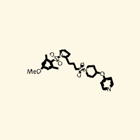 COc1cc(C)c(S(=O)(=O)N2CCCC2CCCS(=O)(=O)N2CCC(Oc3ccncc3)CC2)c(C)c1